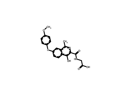 COc1ccc(Oc2ccc3c(O)c(C(=O)NCC(=O)O)nc(C)c3c2)cc1